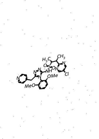 COc1cccc(OC)c1-n1c(Cc2ccncc2)nnc1NS(=O)(=O)C(C)C(C)c1ncc(Cl)cn1